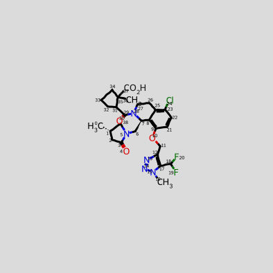 C[C@H]1CC(=O)N(C[C@@H]2c3c(OCc4nnn(C)c4C(F)F)ccc(Cl)c3CCN2C(=O)C2CCCC2(C)C(=O)O)C1